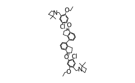 CCOc1cc(O[C@H]2CCc3c(-c4cccc5c4CC[C@@H]5Oc4cc(OCC)c(CN5CCC5(C)C)cc4Cl)cccc32)c(Cl)cc1CN1CCC1(C)C